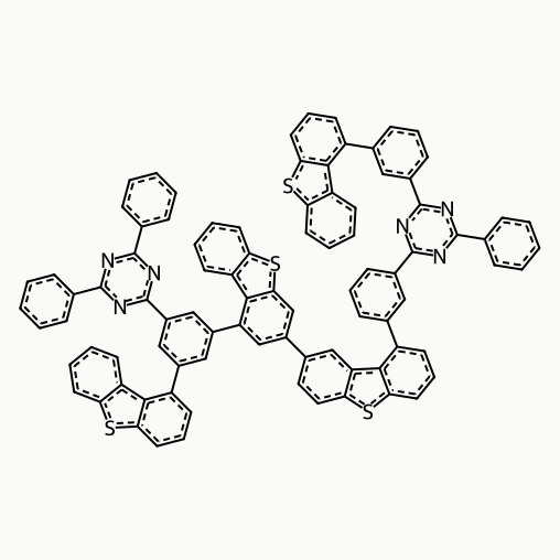 c1ccc(-c2nc(-c3cccc(-c4cccc5sc6ccccc6c45)c3)nc(-c3cccc(-c4cccc5sc6ccc(-c7cc(-c8cc(-c9nc(-c%10ccccc%10)nc(-c%10ccccc%10)n9)cc(-c9cccc%10sc%11ccccc%11c9%10)c8)c8c(c7)sc7ccccc78)cc6c45)c3)n2)cc1